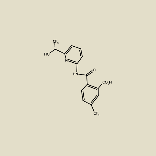 O=C(O)c1cc(C(F)(F)F)ccc1C(=O)Nc1cccc([C@H](O)C(F)(F)F)n1